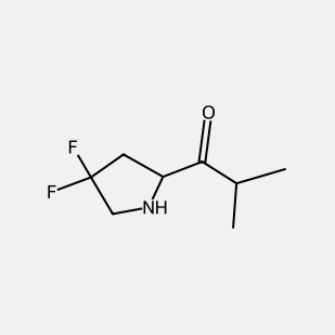 CC(C)C(=O)C1CC(F)(F)CN1